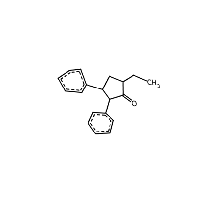 CCC1CC(c2ccccc2)C(c2ccccc2)C1=O